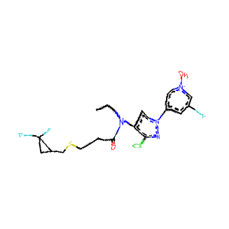 CCN(C(=O)CCSCC1CC1(F)F)c1cn(-c2cc(F)c[n+](O)c2)nc1Cl